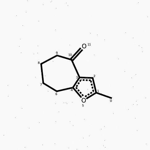 Cc1cc2c(o1)CCCCC2=O